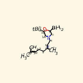 BC1CN(C/C=C(\C)CCC=C(C)C)CC(C(C)(C)C)O1